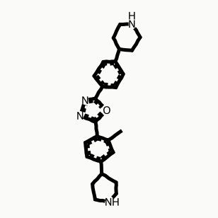 Cc1cc(C2CCNCC2)ccc1-c1nnc(-c2ccc(C3CCNCC3)cc2)o1